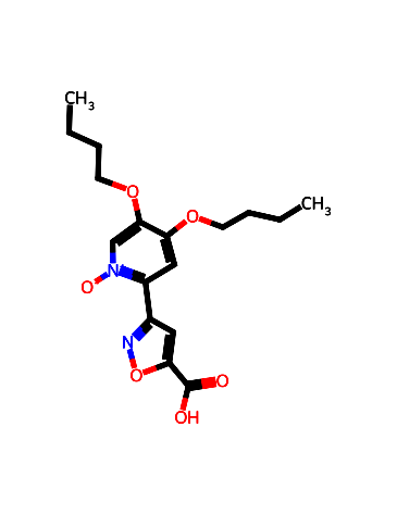 CCCCOc1cc(-c2cc(C(=O)O)on2)[n+]([O-])cc1OCCCC